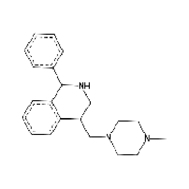 CN1CCN(CC2CNC(c3ccccc3)c3ccccc32)CC1